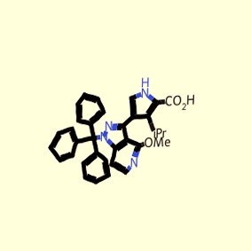 COc1nccc2c1c(-c1c[nH]c(C(=O)O)c1C(C)C)nn2C(c1ccccc1)(c1ccccc1)c1ccccc1